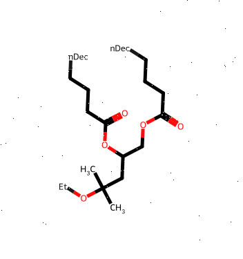 CCCCCCCCCCCCCC(=O)OCC(CC(C)(C)OCC)OC(=O)CCCCCCCCCCCCC